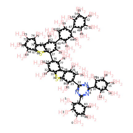 Bc1c(B)c(B)c(-c2nc(-c3c(B)c(B)c(B)c(B)c3B)nc(-c3c(B)c(B)c4c(sc5c(B)c(B)c(-c6c(B)c(-c7c(B)c(B)c(-c8c(B)c(B)c(B)c(B)c8B)c(B)c7B)c(B)c7c6sc6c(B)c(B)c(B)c(B)c67)c(B)c54)c3B)n2)c(B)c1B